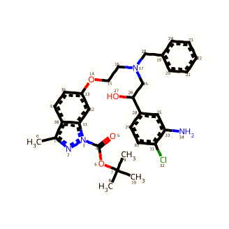 Cc1nn(C(=O)OC(C)(C)C)c2cc(OCCN(Cc3ccccc3)CC(O)c3ccc(Cl)c(N)c3)ccc12